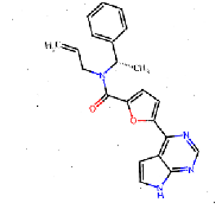 C=CCN(C(=O)c1ccc(-c2ncnc3[nH]ccc23)o1)[C@@H](C)c1ccccc1